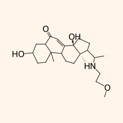 COCCNC(C)C1CC[C@@]2(O)C3=CC(=O)C4CC(O)CCC4(C)C3CC[C@]12C